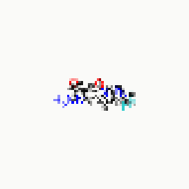 Nc1nc2ccc(C(=O)N(Cc3ccc(C(F)(F)F)nn3)C3CCC3)cc2c2c1COC2